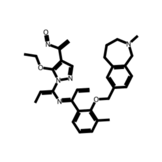 C=C/C(=N\C(=C/C)n1ncc(C(=C)N=O)c1OCC)c1cccc(C)c1OCc1ccc2c(c1)CCCN(C)C2